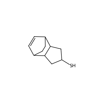 SC1CC2C3C=CC(CC3)C2C1